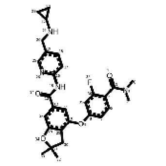 CN(C)C(=O)c1ccc(Oc2cc(C(=O)Nc3ccc(CNC4CC4)cn3)cc3c2CC(C)(C)O3)cc1F